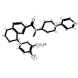 CN(C(=O)c1ccc2c(c1)C(N1C=CC(C(F)(F)F)=C(C(=O)O)C1)CCC2)C1CCN(c2ccncc2)CC1